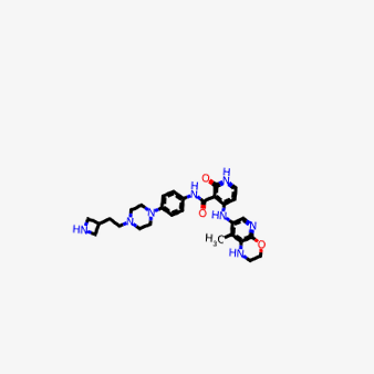 Cc1c(Nc2cc[nH]c(=O)c2C(=O)Nc2ccc(N3CCN(CCC4CNC4)CC3)cc2)cnc2c1NCCO2